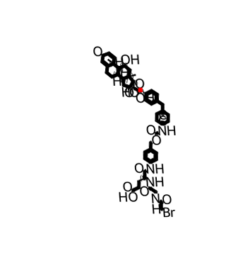 C[C@]12C=CC(=O)C=C1CC[C@@H]1[C@@H]2[C@@H](O)C[C@@]2(C)[C@H]1C[C@H]1O[C@@H](c3ccc(CC45CCC(NC(=O)OCc6ccc(NC(=O)[C@H](CCC(=O)O)NC(=O)CNC(=O)CBr)cc6)(CC4)CC5)cc3)O[C@]12C(=O)CO